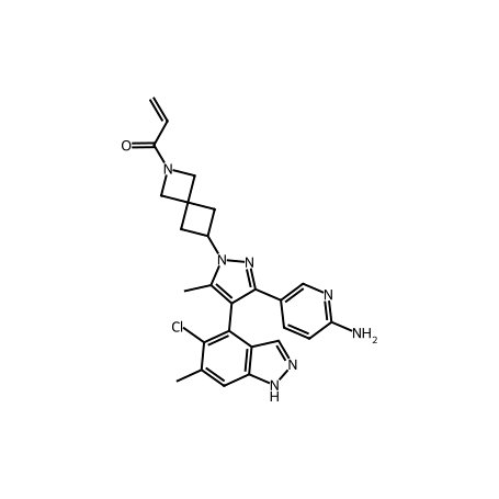 C=CC(=O)N1CC2(CC(n3nc(-c4ccc(N)nc4)c(-c4c(Cl)c(C)cc5[nH]ncc45)c3C)C2)C1